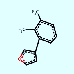 FC(F)(F)c1cccc(-c2c[c]oc2)c1C(F)(F)F